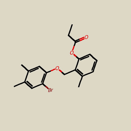 CCC(=O)Oc1cccc(C)c1COc1cc(C)c(C)cc1Br